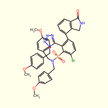 COc1ccc(CN(Cc2ccc(OC)cc2)S(=O)(=O)c2c(Br)ccc(-c3cccc4c3CNC4=O)c2-c2nnnn2Cc2ccc(OC)cc2)cc1